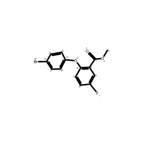 COC(=O)c1cc(F)ccc1Oc1ccc(Br)cc1